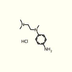 CN(C)CCN(C)c1ccc(N)cc1.Cl